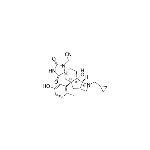 Cc1ccc(O)cc1[C@]12CC3CN(CC4CC4)[C@H]3[C@]1(O)CC[C@]1(C2)C(=O)NC(=O)N1CC#N